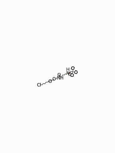 O=C(CCCCCNC(=O)CC(c1ccccc1)(c1ccccc1)c1ccccc1)NCCOCCOCCCCCCCl